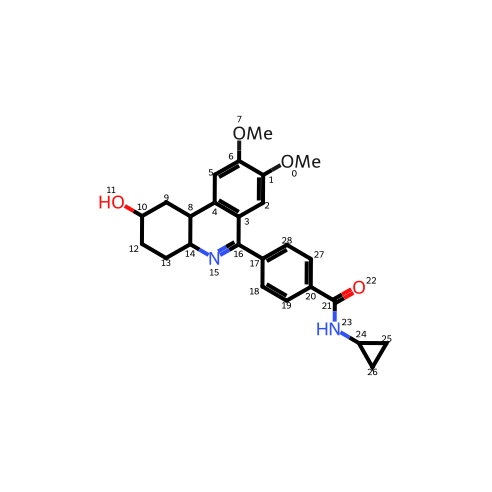 COc1cc2c(cc1OC)C1CC(O)CCC1N=C2c1ccc(C(=O)NC2CC2)cc1